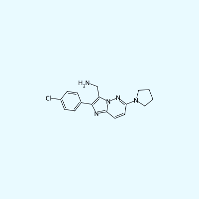 NCc1c(-c2ccc(Cl)cc2)nc2ccc(N3CCCC3)nn12